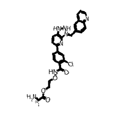 C[C@H](N)C(=O)OCCONC(=O)c1ccc(-c2ccc3c(n2)N(Cc2ccc4ncccc4c2)NN3)cc1Cl